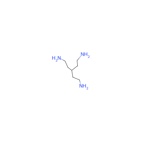 NCCC(CCN)CCN